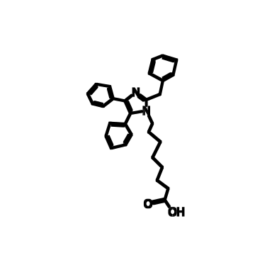 O=C(O)CCCCCCCn1c(Cc2ccccc2)nc(-c2ccccc2)c1-c1ccccc1